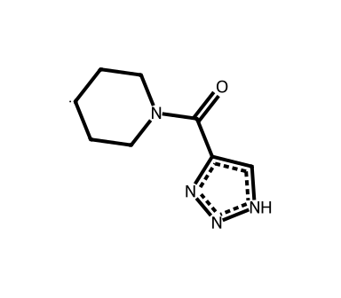 O=C(c1c[nH]nn1)N1CC[CH]CC1